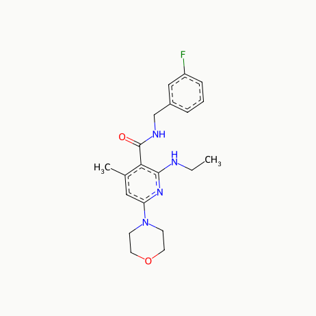 CCNc1nc(N2CCOCC2)cc(C)c1C(=O)NCc1cccc(F)c1